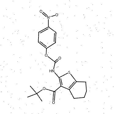 CC(C)(C)OC(=O)c1c(NC(=O)Oc2ccc([N+](=O)[O-])cc2)sc2c1CCCC2